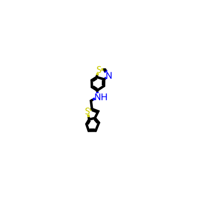 c1ccc2sc(CNc3ccc4scnc4c3)cc2c1